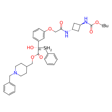 CC(C)(C)OC(=O)N[C@H]1C[C@H](NC(=O)COc2cccc([C@@](O)([SiH2]c3ccccc3)C(=O)OCC3CCN(Cc4ccccc4)CC3)c2)C1